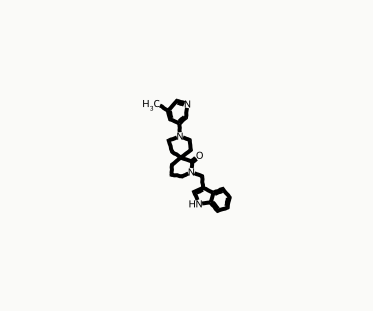 Cc1cncc(N2CCC3(CCCN(Cc4c[nH]c5ccccc45)C3=O)CC2)c1